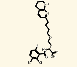 O=C(N[C@H](CCOCCCCc1ccc2c(n1)NCCC2)C(=O)O)c1c(F)ccc(Br)c1Cl